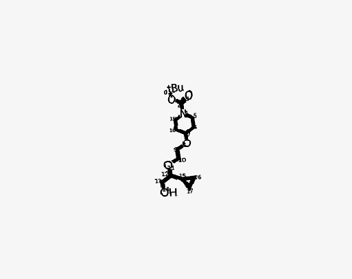 CC(C)(C)OC(=O)N1CCC(OCCOC(CO)C2CC2)CC1